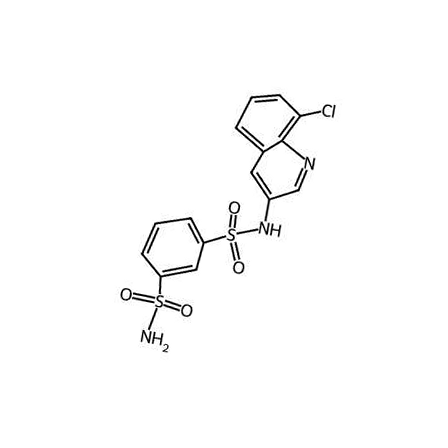 NS(=O)(=O)c1cccc(S(=O)(=O)Nc2cnc3c(Cl)cccc3c2)c1